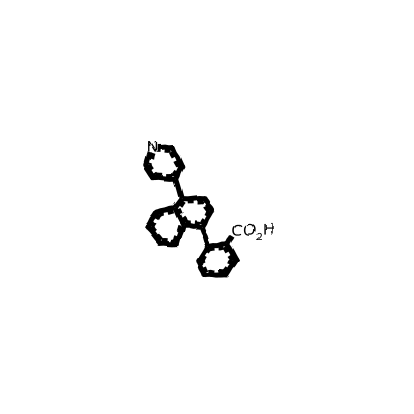 O=C(O)c1ccccc1-c1ccc(-c2ccncc2)c2ccccc12